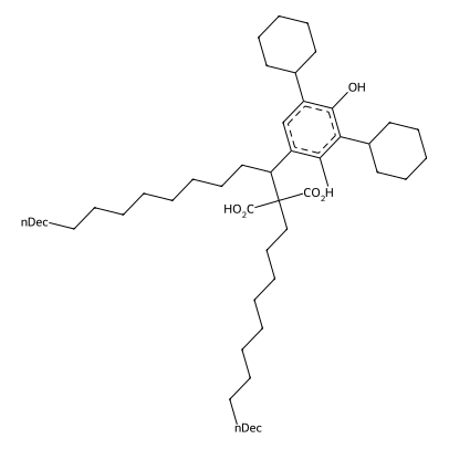 CCCCCCCCCCCCCCCCCCC(c1cc(C2CCCCC2)c(O)c(C2CCCCC2)c1C)C(CCCCCCCCCCCCCCCCCC)(C(=O)O)C(=O)O